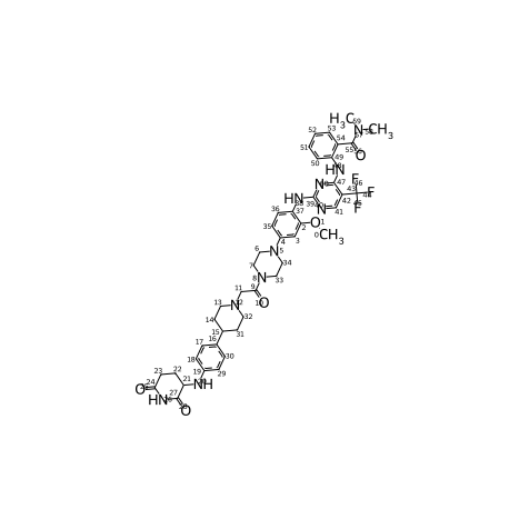 COc1cc(N2CCN(C(=O)CN3CCC(c4ccc(NC5CCC(=O)NC5=O)cc4)CC3)CC2)ccc1Nc1ncc(C(F)(F)F)c(Nc2ccccc2C(=O)N(C)C)n1